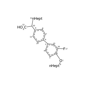 CCCCCCCOc1ccc(-c2ccc(C(CCCCCCC)C(=O)O)cc2)cc1F